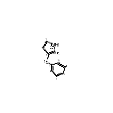 [c]1ccccc1Sc1cc[nH]n1